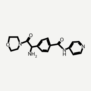 NC(C(=O)N1CCOCC1)c1ccc(C(=O)Nc2ccncc2)cc1